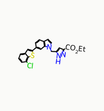 CCOC(=O)c1cc(Cn2ccc3ccc(-c4cc5cccc(Cl)c5s4)cc32)[nH]n1